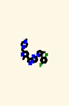 Cc1nc(CN2CCN(C)CC2)ccc1-c1cnn2ccc(N3CC[C@@H](C)[C@@H]3c3cc(F)ccc3F)nc12